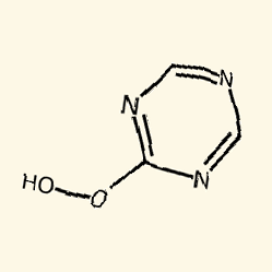 OOc1ncncn1